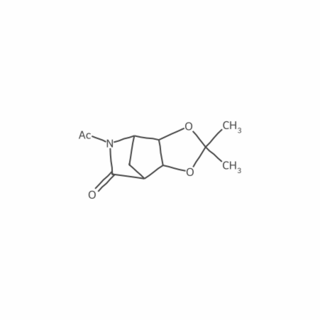 CC(=O)N1C(=O)C2CC1C1OC(C)(C)OC21